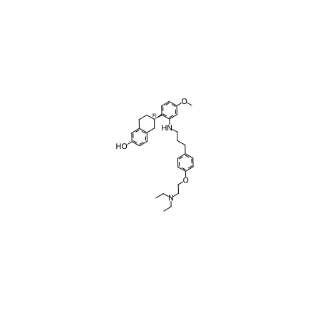 CCN(CC)CCOc1ccc(CCCNc2cc(OC)ccc2[C@@H]2CCc3cc(O)ccc3C2)cc1